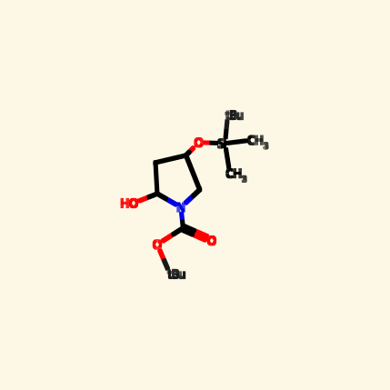 CC(C)(C)OC(=O)N1CC(O[Si](C)(C)C(C)(C)C)CC1O